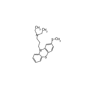 CCN(CC)CCCN1c2ccccc2Sc2ccc(SC)cc21